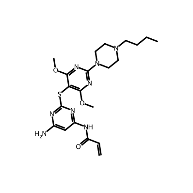 C=CC(=O)Nc1cc(N)nc(Sc2c(OC)nc(N3CCN(CCCC)CC3)nc2OC)n1